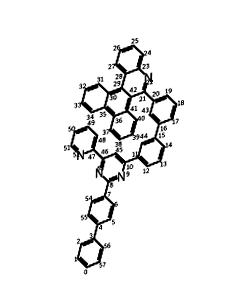 c1ccc(-c2ccc(-c3nc(-c4cccc(-c5cccc(-c6nc7ccccc7c7c8ccccc8c8ccccc8c67)c5)c4)cc(-c4ccccn4)n3)cc2)cc1